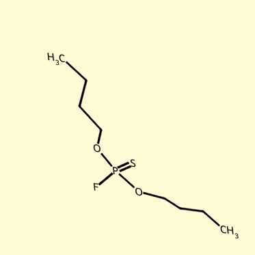 CCCCOP(F)(=S)OCCCC